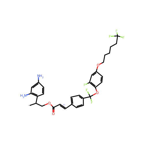 [CH2]C(COC(=O)/C=C/c1ccc(C(F)(F)Oc2ccc(OCCCCCC(F)(F)F)cc2F)cc1)c1ccc(N)cc1N